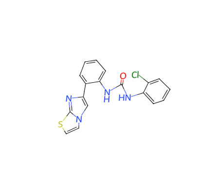 O=C(Nc1ccccc1Cl)Nc1ccccc1-c1cn2ccsc2n1